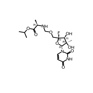 CC(C)OC(=O)[C@@H](C)NCOC[C@@]1(F)O[C@@H](n2ccc(=O)[nH]c2=O)[C@](C)(O)[C@@H]1O